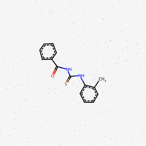 Cc1ccccc1NC(=S)NC(=O)c1ccccc1